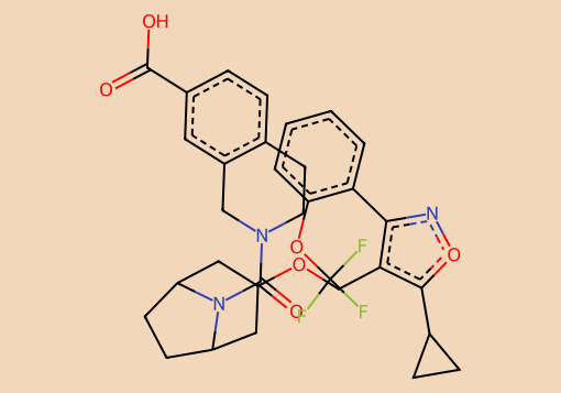 O=C(O)c1ccc2c(c1)CN(C(=O)N1C3CCC1CC(OCc1c(-c4ccccc4OC(F)(F)F)noc1C1CC1)C3)CC2